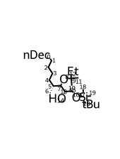 CCCCCCCCCCCCCC[C@@H](C)[C@@H](OC(C)(C)CC)[C@@H](O)CO[Si](C)(C)C(C)(C)C